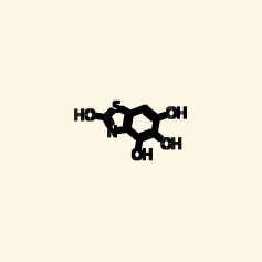 Oc1nc2c(O)c(O)c(O)cc2s1